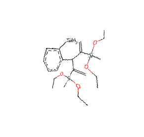 C=C(C(C(=C)[Si](C)(OCC)OCC)c1ccccc1[SiH3])[Si](C)(OCC)OCC